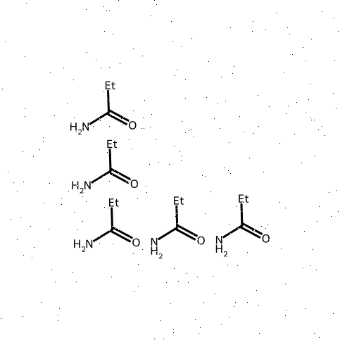 CCC(N)=O.CCC(N)=O.CCC(N)=O.CCC(N)=O.CCC(N)=O